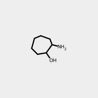 NC1CCCCCC1O